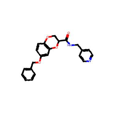 O=C(NCc1ccncc1)C1COc2ccc(OCc3ccccc3)cc2O1